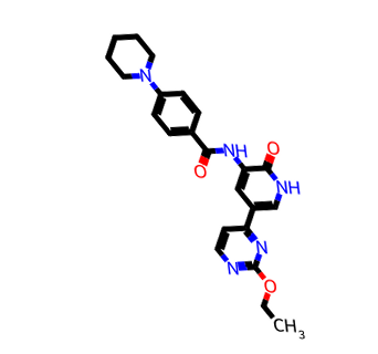 CCOc1nccc(-c2c[nH]c(=O)c(NC(=O)c3ccc(N4CCCCC4)cc3)c2)n1